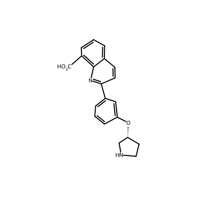 O=C(O)c1cccc2ccc(-c3cccc(O[C@@H]4CCNC4)c3)nc12